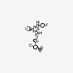 O=[N+]([O-])c1ccc(Cl)c(-c2ccc(/C=N/Nc3nc(Nc4ccc(F)cc4)nc(N4CCOCC4)n3)o2)c1